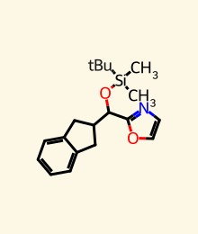 CC(C)(C)[Si](C)(C)OC(c1ncco1)C1Cc2ccccc2C1